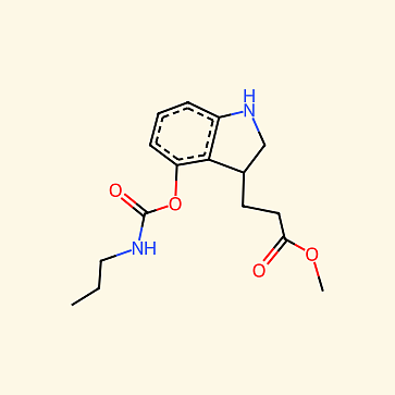 CCCNC(=O)Oc1cccc2c1C(CCC(=O)OC)CN2